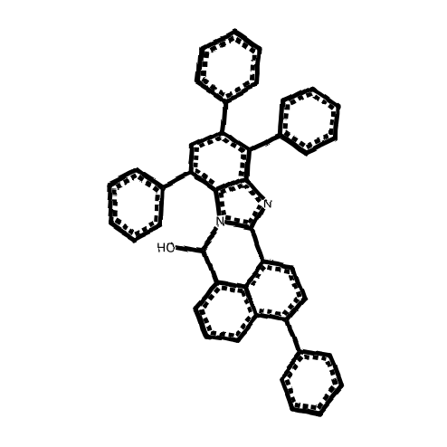 OC1c2cccc3c(-c4ccccc4)ccc(c23)-c2nc3c(-c4ccccc4)c(-c4ccccc4)cc(-c4ccccc4)c3n21